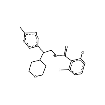 Cc1ncc(C(CNC(=O)c2c(F)cccc2Cl)C2CCOCC2)cn1